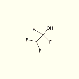 OC(F)(F)C(F)F